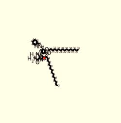 CCCCCCCCCCCCCCCC(=O)O[C@@H]1[C@H](OC(=O)CCCCCCCCCCCCCCC)[C@@H](CNCc2ccccc2)O[C@H]1n1cnc(C(N)=O)c1N